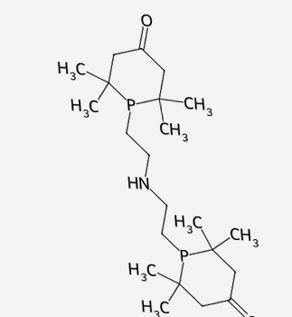 CC1(C)CC(=O)CC(C)(C)P1CCNCCP1C(C)(C)CC(=O)CC1(C)C